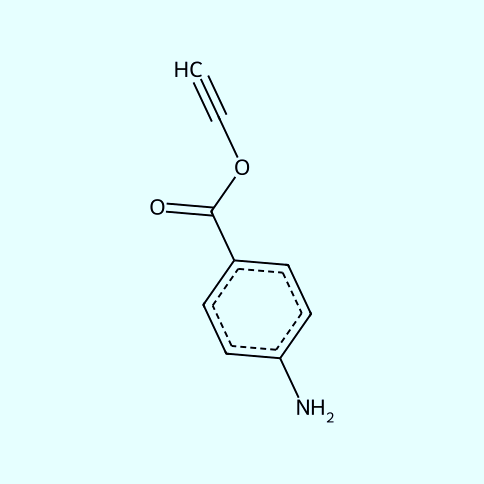 C#COC(=O)c1ccc(N)cc1